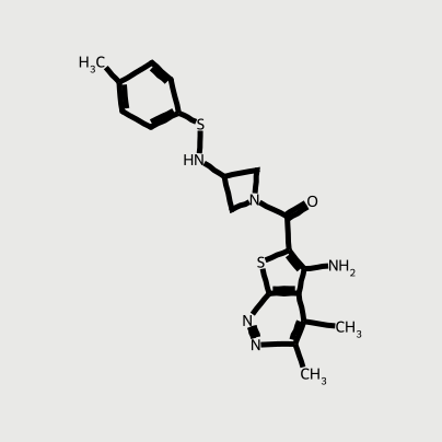 Cc1ccc(SNC2CN(C(=O)c3sc4nnc(C)c(C)c4c3N)C2)cc1